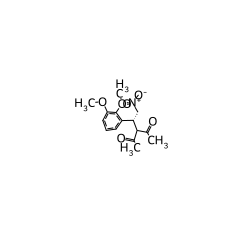 COc1cccc([C@H](C[N+](=O)[O-])C(C(C)=O)C(C)=O)c1OC